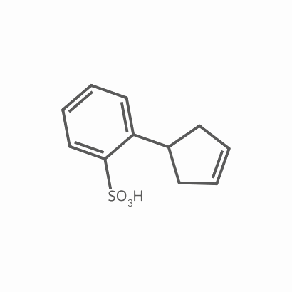 O=S(=O)(O)c1ccccc1C1CC=CC1